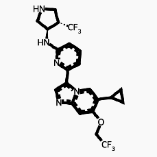 FC(F)(F)COc1cc2ncc(-c3cccc(N[C@H]4CNC[C@@H]4C(F)(F)F)n3)n2cc1C1CC1